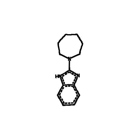 c1ccc2[nH]c(N3CCCCCC3)nc2c1